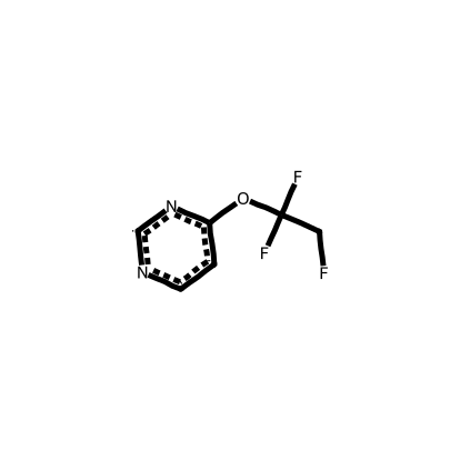 FCC(F)(F)Oc1ccn[c]n1